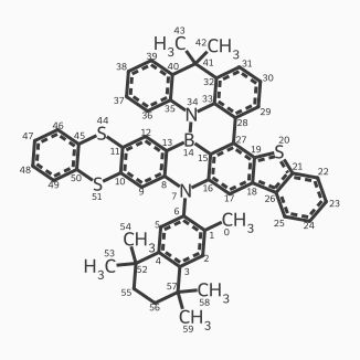 Cc1cc2c(cc1N1c3cc4c(cc3B3c5c1cc1c(sc6ccccc61)c5-c1cccc5c1N3c1ccccc1C5(C)C)Sc1ccccc1S4)C(C)(C)CCC2(C)C